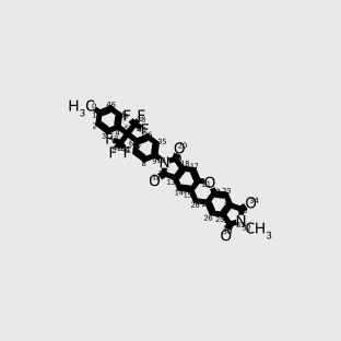 Cc1ccc(C(c2ccc(N3C(=O)c4cc5c(cc4C3=O)Oc3cc4c(cc3C5)C(=O)N(C)C4=O)cc2)(C(F)(F)F)C(F)(F)F)cc1